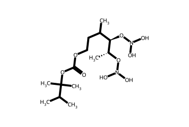 CC(CCOC(=O)OC(C)(C)C(C)C)[C@@H](ON(O)O)[C@@H](C)ON(O)O